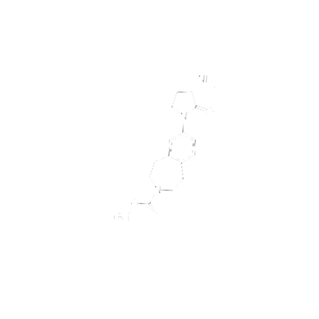 CC(C)(C)OC(=O)N1CCc2ccc(N3CC[C@H](N)C3=O)cc2CC1